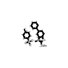 CSc1oc2ccc(-c3ccccc3)cc2[n+]1C.Cc1ccc(S(=O)(=O)[O-])cc1